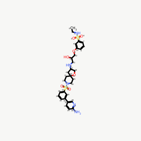 CCNS(=O)(=O)c1cccc(OCC(O)CNC2COC3(CCN(S(=O)(=O)c4cccc(-c5ccc(N)nc5)c4)CC3)C2)c1